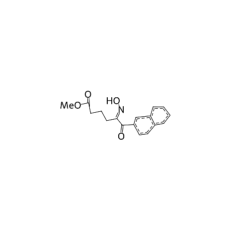 COC(=O)CCCC(=NO)C(=O)c1ccc2ccccc2c1